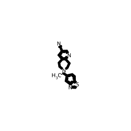 C[C@@H](c1ccc2scnc2c1)N1CCc2cc(C#N)cnc2CC1